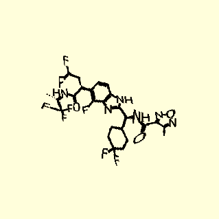 Cc1nonc1C(=O)N[C@H](c1nc2c(F)c([C@H](CC(F)F)C(=O)N[C@@H](C)C(F)(F)F)ccc2[nH]1)C1CCC(F)(F)CC1